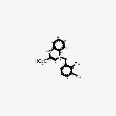 O=C(O)C1=CN(Cc2cccc(F)c2F)c2ccccc2S1